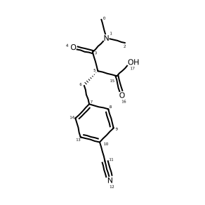 CN(C)C(=O)[C@@H](Cc1ccc(C#N)cc1)C(=O)O